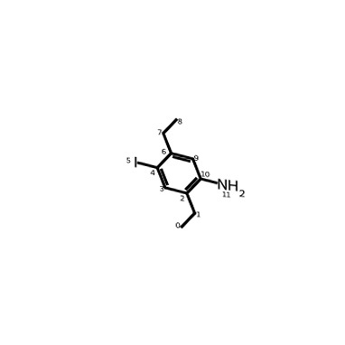 CCc1cc(I)c(CC)cc1N